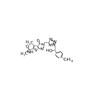 CNC(=O)c1sc2ncn(Cc3nnn(C[C@H](O)c4ccc(C)cc4)n3)c(=O)c2c1C